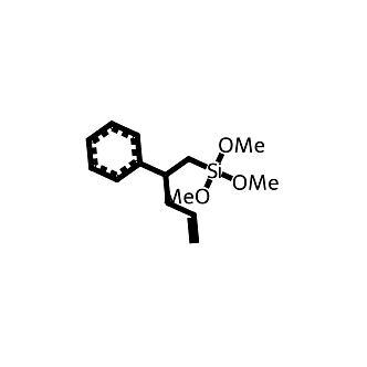 C=CCC(C[Si](OC)(OC)OC)c1ccccc1